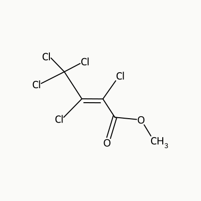 COC(=O)/C(Cl)=C(\Cl)C(Cl)(Cl)Cl